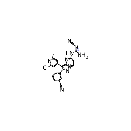 Cc1cc(-c2c(-c3cccc(C#N)c3)nn3ccc(N/C(N)=N\C#N)nc23)cc(Cl)n1